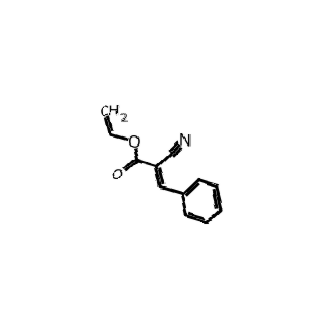 C=COC(=O)/C(C#N)=C/c1ccccc1